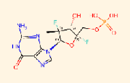 C[C@]1(F)[C@H](n2cnc3c(=O)[nH]c(N)nc32)O[C@](F)(COP(=O)(O)O)[C@H]1O